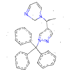 CC(c1cnn(C(c2ccccc2)(c2ccccc2)c2ccccc2)c1)N1C=CC=NC1